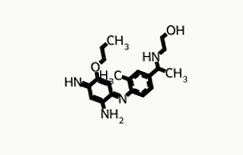 CCCOC1=CC(=Nc2ccc(C(C)NCCO)cc2C)C(N)=CC1=N